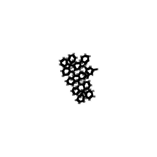 Cc1cc(C)cc(-n2c3ccccc3c3cc4c(cc32)N(c2c3ccccc3c(N3c5ccccc5C(c5ccccc5)(c5ccccc5)c5ccccc53)c3ccccc23)c2ccccc2C4(c2ccccc2)c2ccccc2)c1